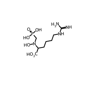 N=C(N)NCCCCC(C(=O)O)N(O)CP(=O)(O)O